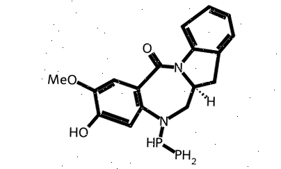 COc1cc2c(cc1O)N(PP)C[C@@H]1Cc3ccccc3N1C2=O